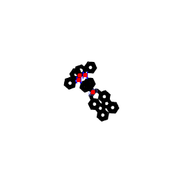 C1=CC(N(c2ccccc2)c2ccc(/C=C/c3ccc4c(c3)C3(c5ccccc5-4)c4ccccc4-c4ccc(/C=C/c5ccc(N(c6ccccc6)c6ccccc6)cc5)cc43)cc2)=CCC1